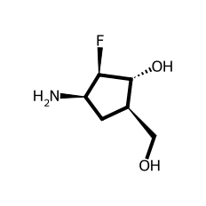 N[C@@H]1C[C@H](CO)[C@@H](O)[C@@H]1F